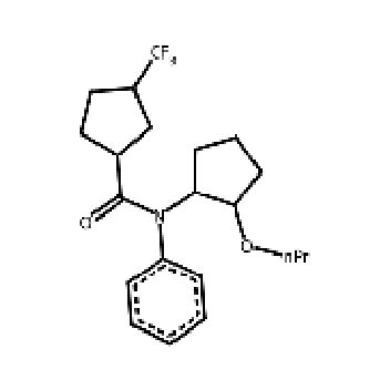 CCCOC1CCCC1N(C(=O)C1CCC(C(F)(F)F)C1)c1ccccc1